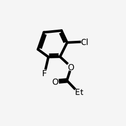 CCC(=O)Oc1c(F)cccc1Cl